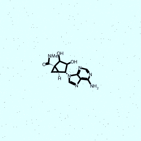 CNC(=O)[C@@]12C[C@@H]1[C@@H](n1cnc3c(N)ncnc31)C(O)C2O